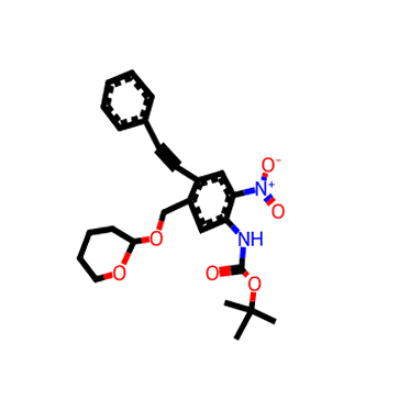 CC(C)(C)OC(=O)Nc1cc(COC2CCCCO2)c(C#Cc2ccccc2)cc1[N+](=O)[O-]